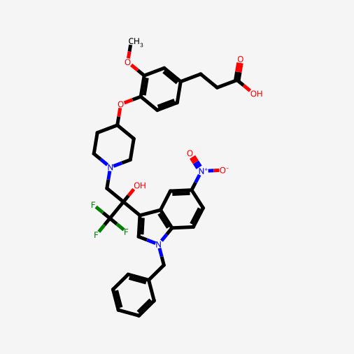 COc1cc(CCC(=O)O)ccc1OC1CCN(CC(O)(c2cn(Cc3ccccc3)c3ccc([N+](=O)[O-])cc23)C(F)(F)F)CC1